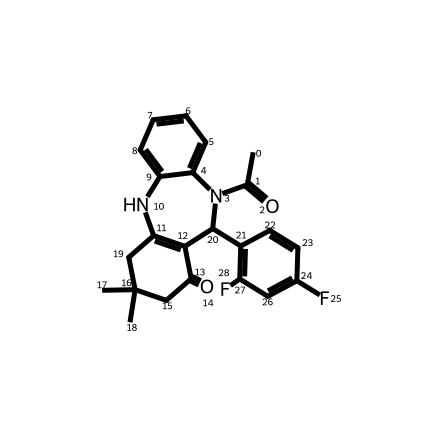 CC(=O)N1c2ccccc2NC2=C(C(=O)CC(C)(C)C2)C1c1ccc(F)cc1F